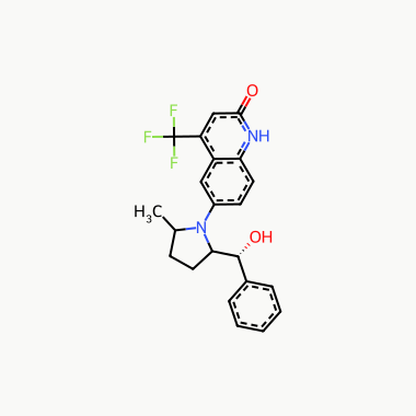 CC1CCC([C@H](O)c2ccccc2)N1c1ccc2[nH]c(=O)cc(C(F)(F)F)c2c1